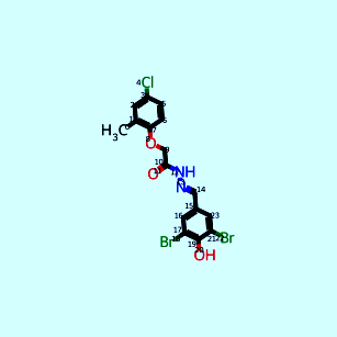 Cc1cc(Cl)ccc1OCC(=O)N/N=C/c1cc(Br)c(O)c(Br)c1